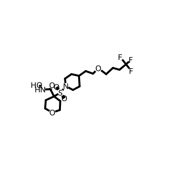 O=C(NO)C1(S(=O)(=O)N2CCC(CCOCCCC(F)(F)F)CC2)CCOCC1